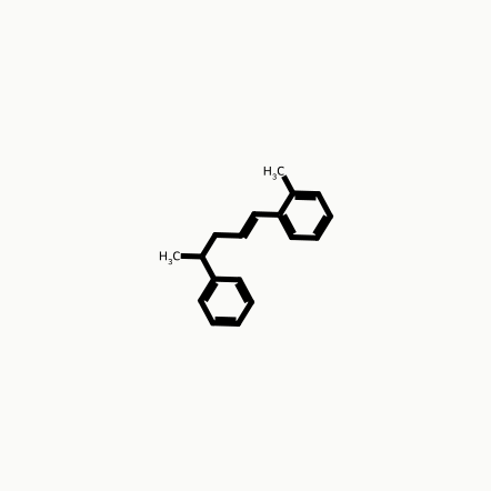 Cc1ccccc1C=CCC(C)c1ccccc1